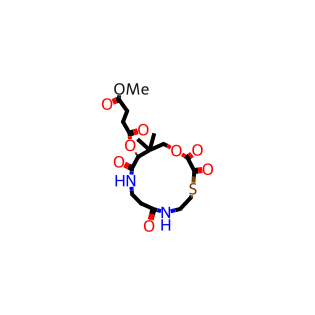 COC(=O)CCC(=O)O[C@H]1C(=O)NCCC(=O)NCCSC(=O)C(=O)OCC1(C)C